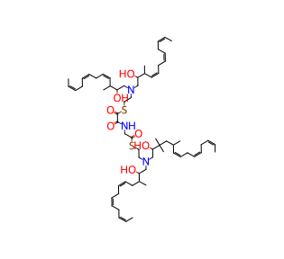 C/C=C\C/C=C\C/C=C\CC(C)C(O)CN(CCSC(=O)CNC(=O)C(=O)SCCN(CC(O)C(C)/C=C\C/C=C\C/C=C\C)CC(O)C(C)/C=C\C/C=C\C/C=C\C)CC(O)C(C)(C)CC(C)/C=C\C/C=C\C/C=C\C